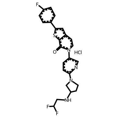 Cl.O=c1c2sc(-c3ccc(F)cc3)cc2ccn1-c1ccc(N2CCC(NCC(F)F)C2)nc1